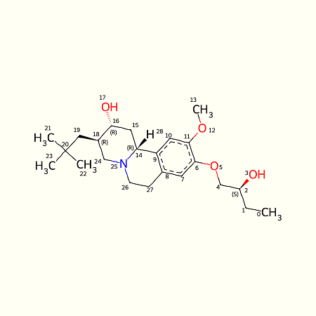 CC[C@H](O)COc1cc2c(cc1OC)[C@H]1C[C@@H](O)[C@H](CC(C)(C)C)CN1CC2